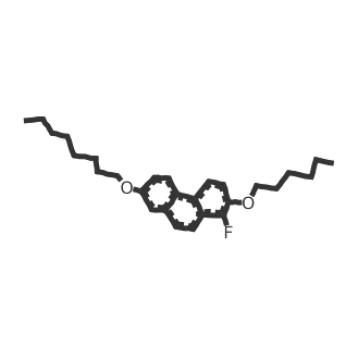 CCCCCCCCOc1ccc2c(ccc3c(F)c(OCCCCCC)ccc32)c1